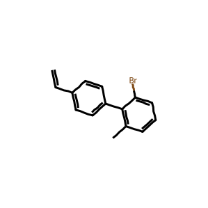 C=Cc1ccc(-c2c(C)cccc2Br)cc1